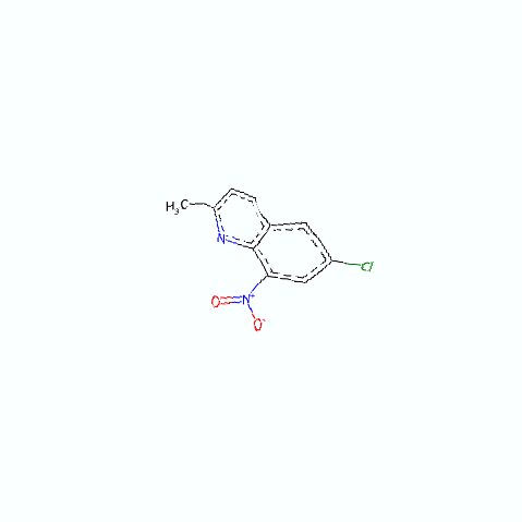 Cc1ccc2cc(Cl)cc([N+](=O)[O-])c2n1